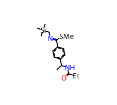 CCC(=O)NC(C)c1ccc(C(=NC[Si](C)(C)C)SC)cc1